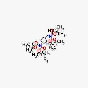 CCC(C)(C)OC(=O)N(CC1CCC(N(C(=O)OC(C)(C)CC)C(=O)OC(C)(C)CC)CC1)C(=O)OC(C)(C)CC